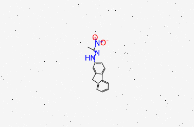 C/C(=N\Nc1ccc2c(c1)Cc1ccccc1-2)[N+](=O)[O-]